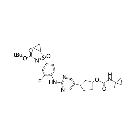 CC1(NC(=O)OC2CCC(c3cnc(Nc4ccc([S@](=O)(=NC(=O)OC(C)(C)C)C5CC5)cc4F)nc3)C2)CC1